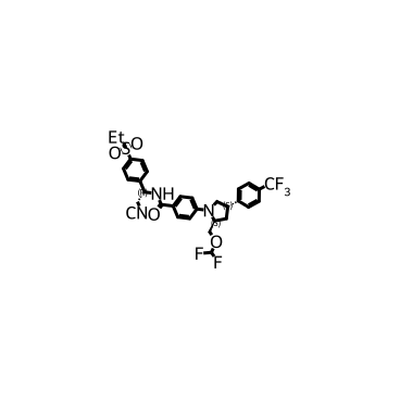 CCS(=O)(=O)c1ccc([C@@H](CC#N)NC(=O)c2ccc(N3C[C@H](c4ccc(C(F)(F)F)cc4)C[C@H]3COC(F)F)cc2)cc1